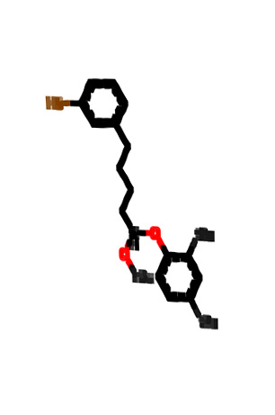 CCCCO[SiH](CCCCc1cccc(S)c1)Oc1ccc(C(C)(C)C)cc1C(C)(C)C